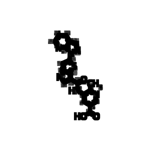 Cc1ncc(C(=O)O)cc1NC(=O)c1cnn2cc(-n3ncc4cccnc43)sc12